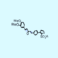 COc1ccc(/C=C/C(=O)/C=C/c2ccc(-c3ccsc3S(=O)(=O)O)cc2)cc1OC